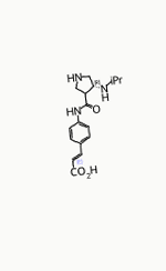 CC(C)N[C@H]1CNCC1C(=O)Nc1ccc(/C=C/C(=O)O)cc1